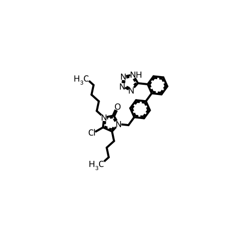 CCCCCn1c(Cl)c(CCCC)n(Cc2ccc(-c3ccccc3-c3nnn[nH]3)cc2)c1=O